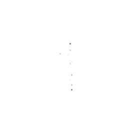 O=CCCNCC(I)C=O